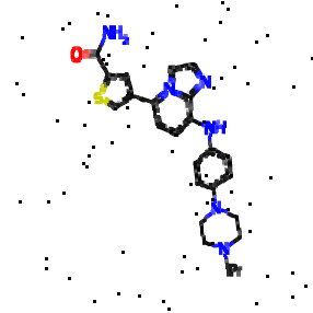 CC(C)N1CCN(c2ccc(Nc3ccc(-c4csc(C(N)=O)c4)n4ccnc34)cc2)CC1